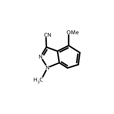 COc1cccc2c1c(C#N)nn2C